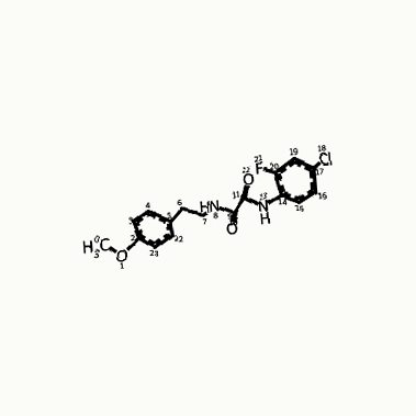 COc1ccc(CCNC(=O)C(=O)Nc2ccc(Cl)cc2F)cc1